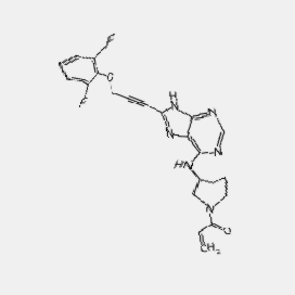 C=CC(=O)N1CCC(Nc2ncnc3[nH]c(C#CCOc4c(F)cccc4F)nc23)C1